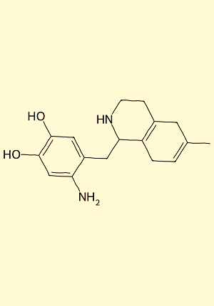 CC1=CCC2=C(CCNC2Cc2cc(O)c(O)cc2N)C1